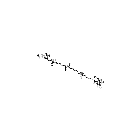 Cn1cc(CNC(=O)CCCCCNC(=O)CCCCCNC(=O)CCCC[C@@H]2SC[C@@H]3NC(=O)N[C@@H]32)nn1